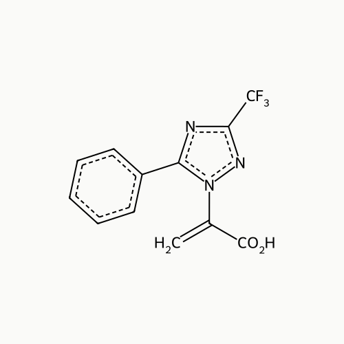 C=C(C(=O)O)n1nc(C(F)(F)F)nc1-c1ccccc1